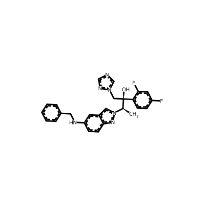 C[C@@H](n1cc2cc(NCc3ccccc3)ccc2n1)[C@](O)(Cn1cncn1)c1ccc(F)cc1F